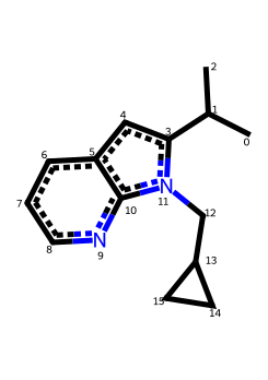 CC(C)c1cc2cccnc2n1CC1CC1